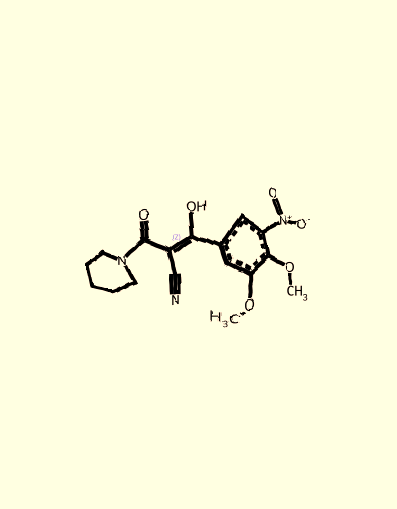 COc1cc(/C(O)=C(\C#N)C(=O)N2CCCCC2)cc([N+](=O)[O-])c1OC